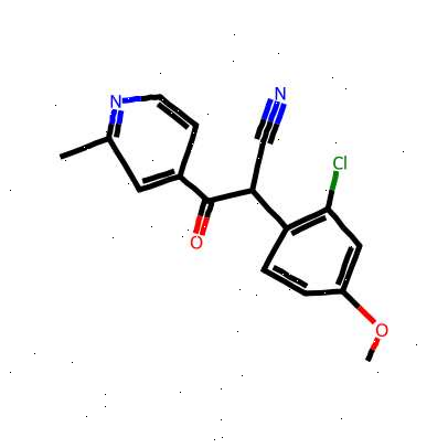 COc1ccc(C(C#N)C(=O)c2ccnc(C)c2)c(Cl)c1